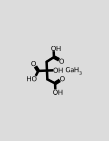 O=C(O)CC(O)(CC(=O)O)C(=O)O.[GaH3]